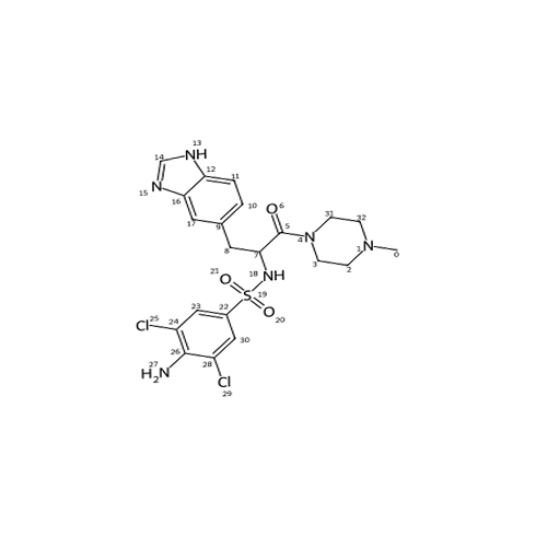 CN1CCN(C(=O)C(Cc2ccc3[nH]cnc3c2)NS(=O)(=O)c2cc(Cl)c(N)c(Cl)c2)CC1